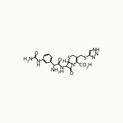 NC(=O)Nc1cccc(C(N)C(=O)NC2C(=O)N3C(C(=O)O)=C(CSc4c[nH]nn4)CS[C@H]23)c1